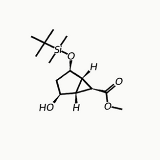 COC(=O)[C@@H]1[C@@H]2[C@H]1[C@@H](O)C[C@H]2O[Si](C)(C)C(C)(C)C